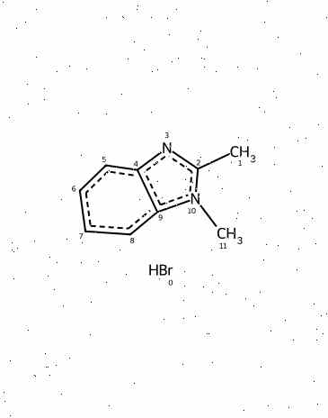 Br.Cc1nc2ccccc2n1C